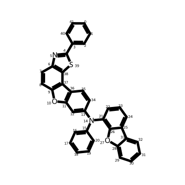 c1ccc(-c2nc3ccc4oc5cc(N(c6ccccc6)c6cccc7c6oc6ccccc67)ccc5c4c3s2)cc1